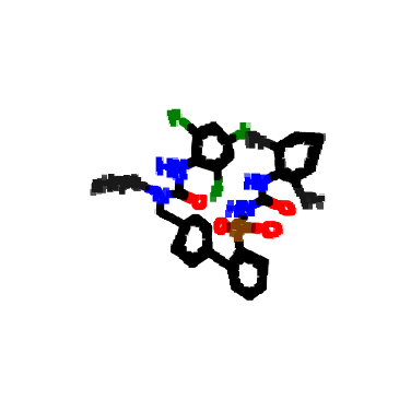 CCCCCCCN(Cc1ccc(-c2ccccc2S(=O)(=O)NC(=O)Nc2c(C(C)C)cccc2C(C)C)cc1)C(=O)Nc1c(F)cc(F)cc1F